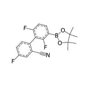 CC1(C)OB(c2ccc(F)c(-c3ccc(F)cc3C#N)c2F)OC1(C)C